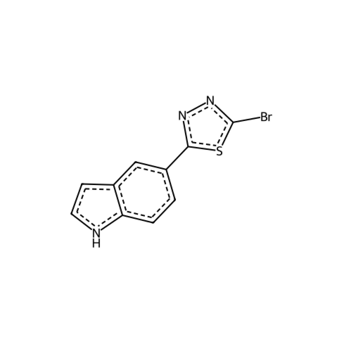 Brc1nnc(-c2ccc3[nH]ccc3c2)s1